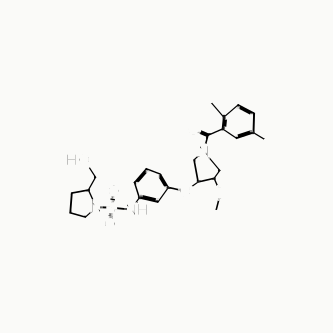 COC1CN(C(=O)c2cc(C)ccc2C)CC1Oc1cccc(NS(=O)(=O)N2CCCC2CO)c1